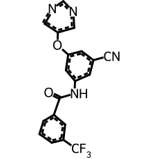 N#Cc1cc(NC(=O)c2cccc(C(F)(F)F)c2)cc(Oc2cncnc2)c1